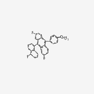 Fc1ccc2c(-c3ccc(OC(F)(F)F)cc3)c3ccc(F)cc3c(-c3cccc4c(F)cccc34)c2c1